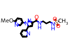 COc1ccc(-n2nc(C(=O)NCCCNS(C)(=O)=O)cc2-c2ccccn2)cn1